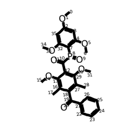 COc1cc(OC)c([P](=O)C(=O)c2c(OC)c(C)c(C(=O)c3ccccc3)c(C)c2OC)c(OC)c1